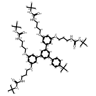 CC(C)(C)OC(=O)NCCCOc1cc(OCCCNC(=O)OC(C)(C)C)cc(-c2cc(-c3ccc(C(C)(C)C)cc3)cc(-c3cc(OCCCNC(=O)OC(C)(C)C)cc(OCCCNC(=O)OC(C)(C)C)c3)c2)c1